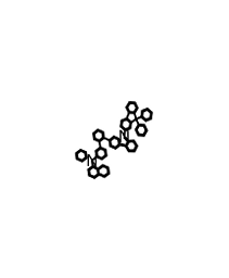 c1ccc(N(c2cccc(-c3ccccc3-c3ccc4c5ccccc5n(-c5ccc6c(c5)C(c5ccccc5)(c5ccccc5)c5ccccc5-6)c4c3)c2)c2cccc3ccccc23)cc1